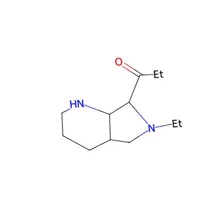 CCC(=O)C1C2NCCCC2CN1CC